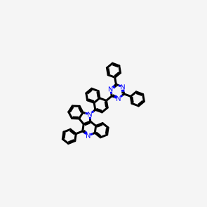 c1ccc(-c2nc(-c3ccccc3)nc(-c3ccc(-n4c5ccccc5c5c(-c6ccccc6)nc6ccccc6c54)c4ccccc34)n2)cc1